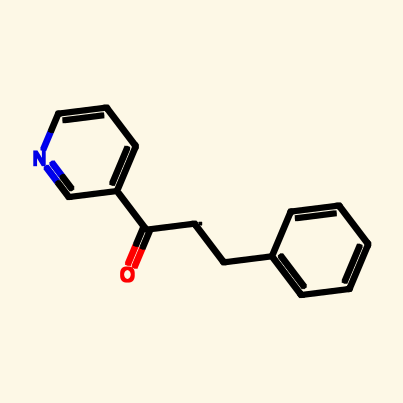 O=C([CH]Cc1ccccc1)c1cccnc1